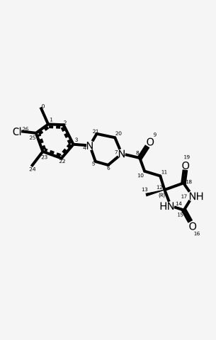 Cc1cc(N2CCN(C(=O)CC[C@@]3(C)NC(=O)NC3=O)CC2)cc(C)c1Cl